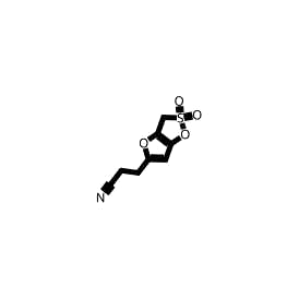 N#CCCc1cc2c(o1)CS(=O)(=O)O2